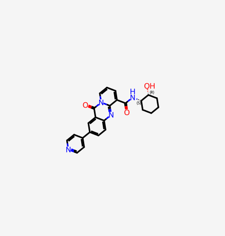 O=C(N[C@H]1CCCC[C@H]1O)c1cccn2c(=O)c3cc(-c4ccncc4)ccc3nc12